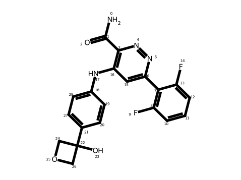 NC(=O)c1nnc(-c2c(F)cccc2F)cc1Nc1ccc(C2(O)COC2)cc1